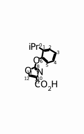 CC(C)c1ccccc1Oc1nc(C(=O)O)co1